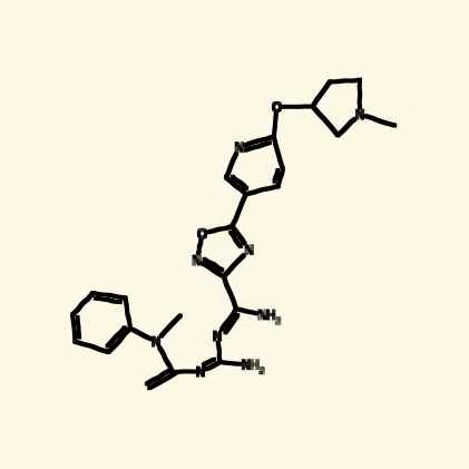 C=C(/N=C(N)\N=C(/N)c1noc(-c2ccc(OC3CCN(C)C3)nc2)n1)N(C)c1ccccc1